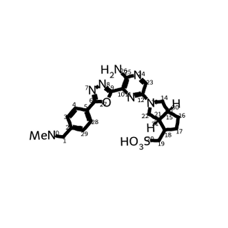 CNCc1ccc(-c2nnc(-c3nc(N4C[C@@H]5CCC(CS(=O)(=O)O)[C@@H]5C4)cnc3N)o2)cc1